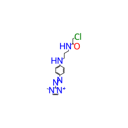 Cn1cc[n+](C)c1/N=N/c1ccc(NCCCNC(=O)CCl)cc1